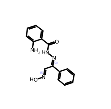 Nc1ccccc1C(=O)N/N=C(\C=N\O)c1ccccc1